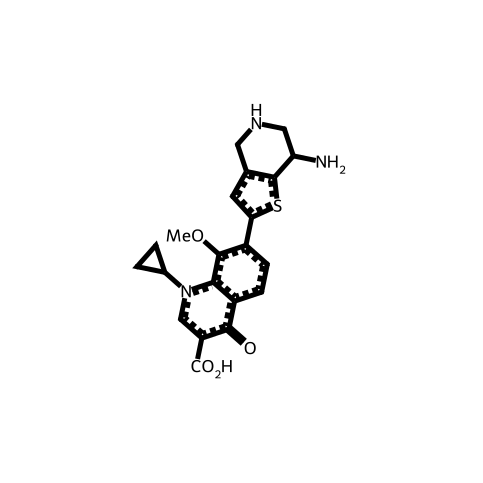 COc1c(-c2cc3c(s2)C(N)CNC3)ccc2c(=O)c(C(=O)O)cn(C3CC3)c12